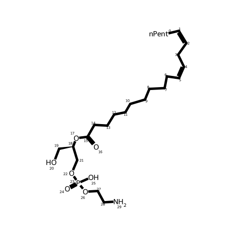 CCCCC/C=C\C/C=C\CCCCCCCCCC(=O)O[C@H](CO)COP(=O)(O)OCCN